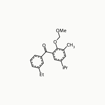 CCc1cccc(C(=O)c2cc(C(C)C)cc(C)c2OCOC)c1